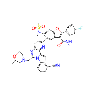 CNC(=O)c1c(-c2ccc(F)cc2)oc2cc(N(C)S(C)(=O)=O)c(-c3ccc4nc(CN5CCOC(C)C5)n5c6cccc(C#N)c6cc5c4n3)cc12